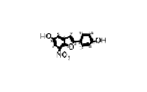 O=[N+]([O-])c1cc(O)cc2cc(-c3ccc(O)cc3)oc12